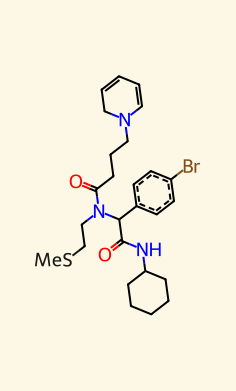 CSCCN(C(=O)CCCN1C=CC=CC1)C(C(=O)NC1CCCCC1)c1ccc(Br)cc1